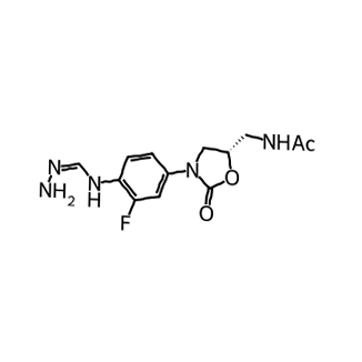 CC(=O)NC[C@H]1CN(c2ccc(N/C=N\N)c(F)c2)C(=O)O1